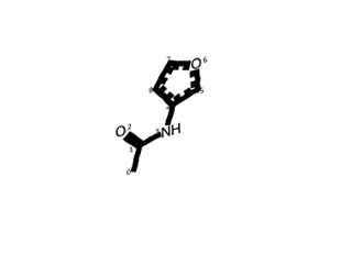 CC(=O)Nc1[c]occ1